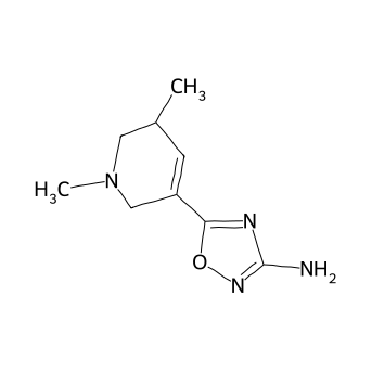 CC1C=C(c2nc(N)no2)CN(C)C1